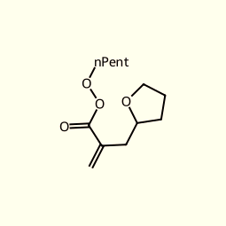 C=C(CC1CCCO1)C(=O)OOCCCCC